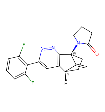 C=C1[C@@H]2CC[C@@]1(N1CCCC1=O)c1nnc(-c3c(F)cccc3F)cc12